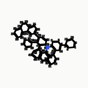 c1ccc(-c2ccc(N(c3ccccc3)c3ccc(-c4ccc5ccc6ccccc6c5c4)c(-c4ccccc4)c3-c3ccccc3)c(-c3ccccc3)c2)cc1